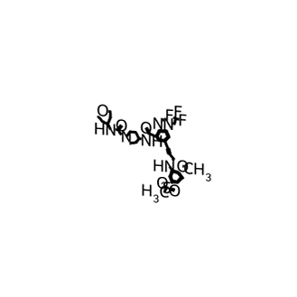 COc1ccc(S(C)(=O)=O)cc1NCC#Cc1cc(C(=O)NC2CCN(CC(=O)NC3CCOCC3)CC2)c2ncn(CC(F)(F)F)c2c1